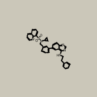 O=S(=O)(c1cccc2cccnc12)N(Cc1cccc(-c2ccc3ncnc(NCCc4ccccc4)c3c2)c1)C1CC1